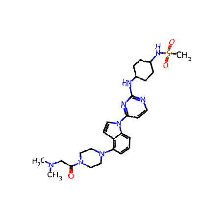 CN(C)CC(=O)N1CCN(c2cccc3c2ccn3-c2ccnc(NC3CCC(NS(C)(=O)=O)CC3)n2)CC1